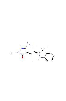 CN(C)C1=NN(C)C(=O)/C1=C/C=C1\N(C)c2ccccc2C1(C)C